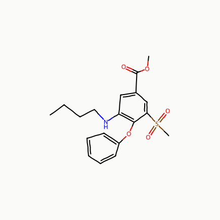 CCCCNc1cc(C(=O)OC)cc(S(C)(=O)=O)c1Oc1ccccc1